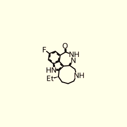 CC[C@@H]1CCCNCC2=NNC(=O)c3cc(F)cc4[nH]c1c2c34